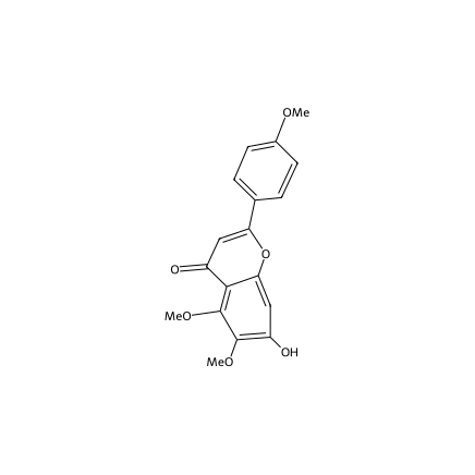 COc1ccc(-c2cc(=O)c3c(OC)c(OC)c(O)cc3o2)cc1